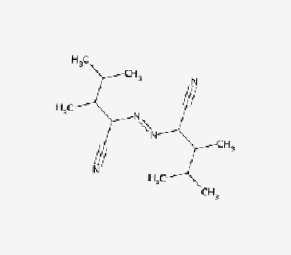 CC(C)C(C)C(C#N)N=NC(C#N)C(C)C(C)C